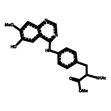 COC(=O)C(Cc1ccc(Nc2ncnc3cc(OC)c(O)cc23)cc1)NC(C)=O